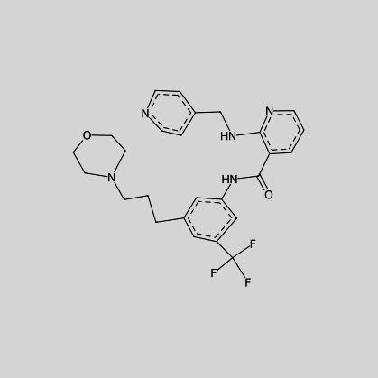 O=C(Nc1cc(CCCN2CCOCC2)cc(C(F)(F)F)c1)c1cccnc1NCc1ccncc1